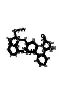 CCCSc1nc2cccc(C(=O)O)c2n1Cc1ccc(-c2ccccc2-c2nc(=O)s[nH]2)cc1